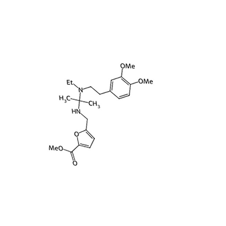 CCN(CCc1ccc(OC)c(OC)c1)C(C)(C)NCc1ccc(C(=O)OC)o1